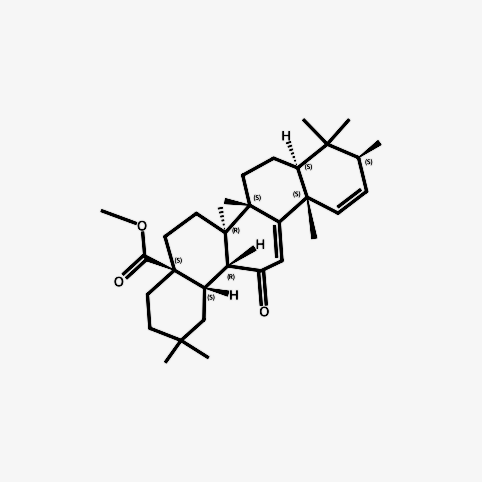 COC(=O)[C@]12CCC(C)(C)C[C@H]1[C@H]1C(=O)C=C3[C@@]4(C)C=C[C@H](C)C(C)(C)[C@@H]4CC[C@@]3(C)[C@]1(C)CC2